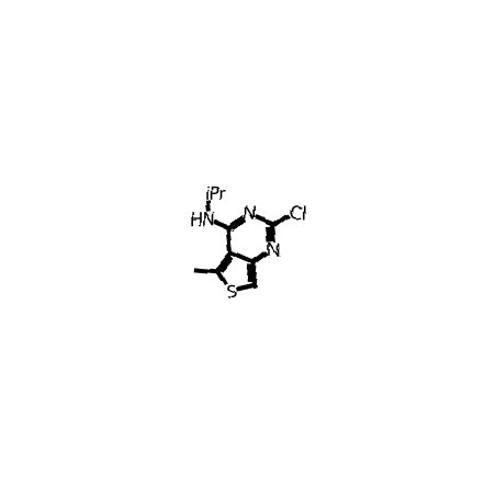 Cc1scc2nc(Cl)nc(NC(C)C)c12